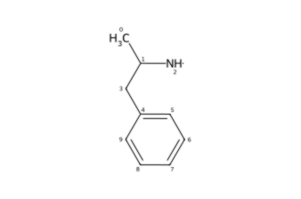 CC([NH])Cc1ccccc1